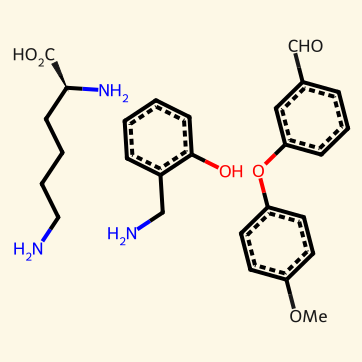 COc1ccc(Oc2cccc(C=O)c2)cc1.NCCCC[C@H](N)C(=O)O.NCc1ccccc1O